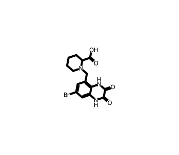 O=C(O)C1CCCCN1Cc1cc(Br)cc2[nH]c(=O)c(=O)[nH]c12